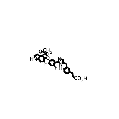 CS(=O)(=O)c1c(Oc2ccc(F)c(-c3ncc(Cc4cccc(CCC(=O)O)c4)[nH]3)c2)c(F)cc2[nH]ccc12